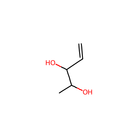 C=CC(O)C(C)O